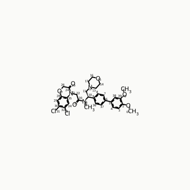 COc1ccc(-c2ccc([C@H](CN3CCOCC3)N(C)C(=O)CN3C(=O)COc4cc(Cl)c(Cl)cc43)cc2)cc1OC